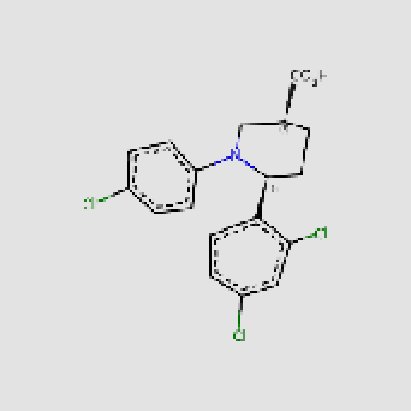 O=C(O)[C@H]1CC[C@@H](c2ccc(Cl)cc2Cl)N(c2ccc(Cl)cc2)C1